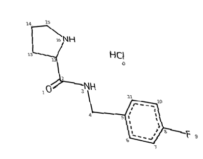 Cl.O=C(NCc1ccc(F)cc1)C1CCCN1